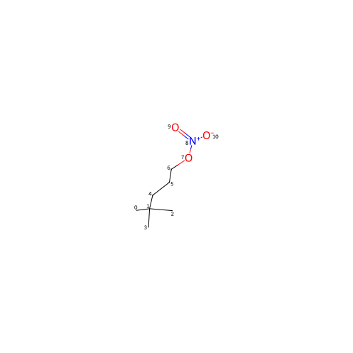 CC(C)(C)CCCO[N+](=O)[O-]